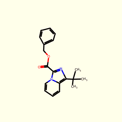 CC(C)(C)c1nc(C(=O)OCc2ccccc2)n2ccccc12